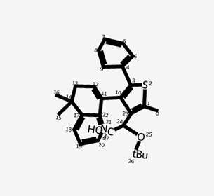 Cc1sc(-c2ccccc2)c(C2=CCC(C)(C)c3cccnc32)c1C(OC(C)(C)C)C(=O)O